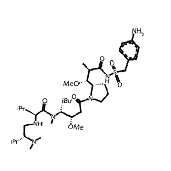 CC[C@@H](C)[C@@H]([C@H](CC(=O)N1CCC[C@H]1[C@H](OC)[C@@H](C)C(=O)NS(=O)(=O)Cc1ccc(N)cc1)OC)N(C)C(=O)[C@@H](NC[C@@H](C(C)C)N(C)C)C(C)C